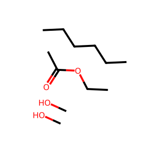 CCCCCC.CCOC(C)=O.CO.CO